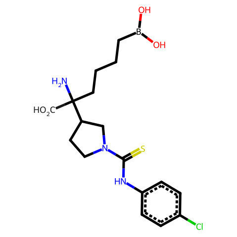 NC(CCCCB(O)O)(C(=O)O)C1CCN(C(=S)Nc2ccc(Cl)cc2)C1